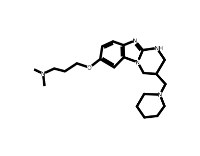 CN(C)CCCOc1ccc2nc3n(c2c1)CC(CN1CCCCC1)CN3